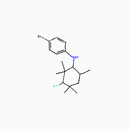 [CH2]C1CC(C)(C)C(F)C(C)(C)C1Nc1ccc(C(C)C)cc1